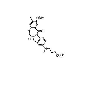 COc1cc2c(cc1C)N=C[C@@H]1Cc3cc(N(C)CCCC(=O)O)ccc3N1C2=O